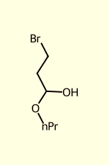 [CH2]CCOC(O)CCBr